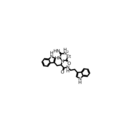 CCC(=O)N(NC(=N)N)C(Cc1c[nH]c2ccccc12)C(=O)NCCc1c[nH]c2ccccc12